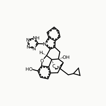 Oc1ccc2c3c1O[C@H]1c4c(c5ccccc5n4-c4nnn[nH]4)C[C@@]4(O)C(C2)N(CC2CC2)CC[C@]314